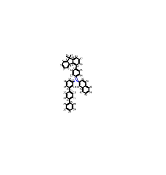 CC1(C)c2ccccc2-c2c(-c3ccc(N(c4cccc(-c5ccc(-c6ccccc6)cc5)c4)c4ccc5ccccc5c4)cc3)cccc21